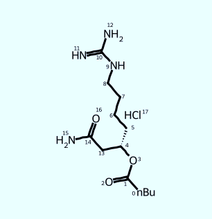 CCCCC(=O)O[C@@H](CCCCNC(=N)N)CC(N)=O.Cl